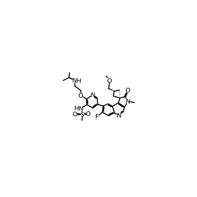 COC[C@H]1C[C@]2(C1)C(=O)N(C)c1cnc3cc(F)c(-c4cnc(OCCNC(C)C)c(NS(C)(=O)=O)c4)cc3c12